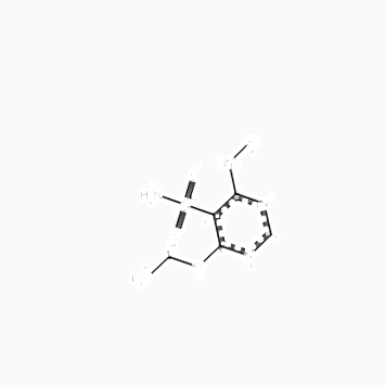 CCNc1ncnc(OCC(F)(F)F)c1S(N)(=O)=O